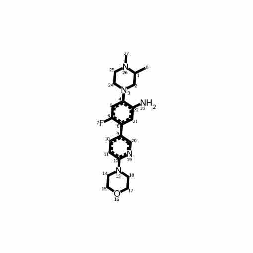 CC1CN(c2cc(F)c(-c3ccc(N4CCOCC4)nc3)cc2N)CCN1C